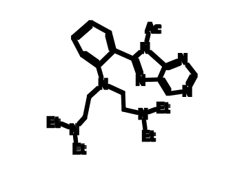 CCN(CC)CCN(CCN(CC)CC)c1ccccc1-c1nc2cncnc2n1C(C)=O